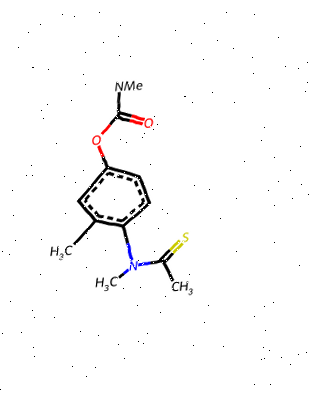 CNC(=O)Oc1ccc(N(C)C(C)=S)c(C)c1